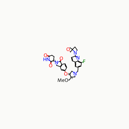 COC[C@@H]1CN(Cc2cc(F)c3nc(N4CCC45COC5)ccc3c2)C[C@H]1Oc1ccc2c(c1)CN([C@H]1CCC(=O)NC1=O)C2=O